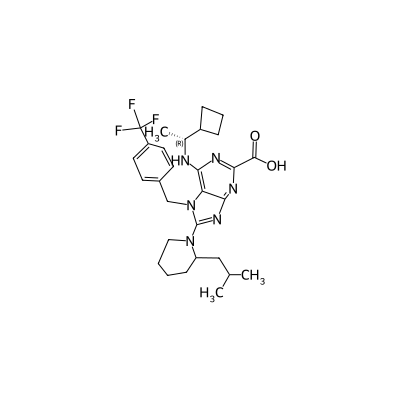 CC(C)CC1CCCCN1c1nc2nc(C(=O)O)nc(N[C@H](C)C3CCC3)c2n1Cc1ccc(C(F)(F)F)cc1